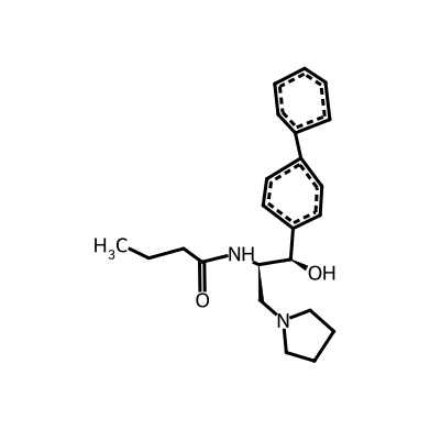 CCCC(=O)N[C@H](CN1CCCC1)[C@H](O)c1ccc(-c2ccccc2)cc1